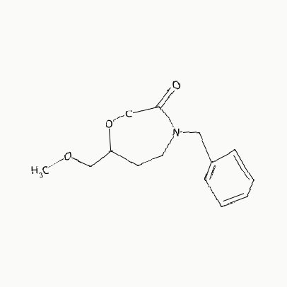 COCC1CCN(Cc2ccccc2)C(=O)CO1